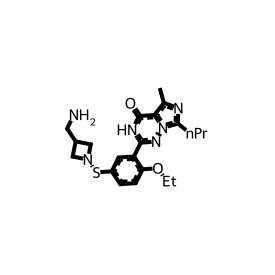 CCCc1nc(C)c2c(=O)[nH]c(-c3cc(SN4CC(CN)C4)ccc3OCC)nn12